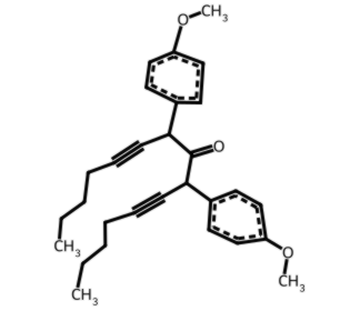 CCCCC#CC(C(=O)C(C#CCCCC)c1ccc(OC)cc1)c1ccc(OC)cc1